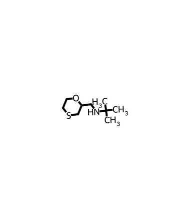 CC(C)(C)NCC1CSCCO1